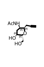 C#CC[C@H]1O[C@H](CO)[C@H](O)C[C@H]1NC(C)=O